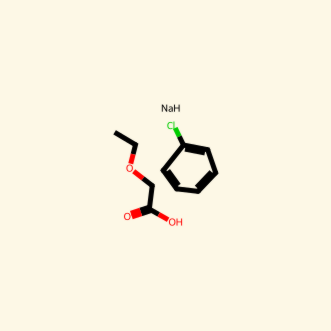 CCOCC(=O)O.Clc1ccccc1.[NaH]